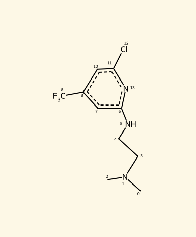 CN(C)CCNc1cc(C(F)(F)F)cc(Cl)n1